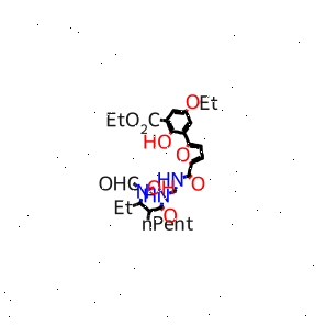 CCCCCC(C(=O)NCNC(=O)c1ccc(-c2cc(OCC)cc(C(=O)OCC)c2O)o1)C(CC)N(O)C=O